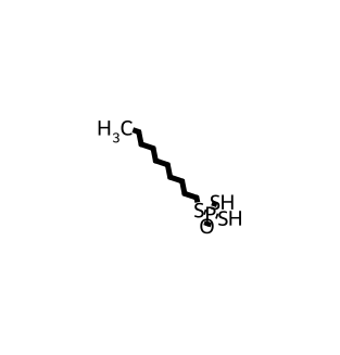 CCCCCCCCCCSP(=O)(S)S